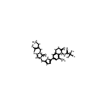 Cc1cc(-c2ccc(Cn3nnn(CC(CN)=C(F)F)c3=O)s2)cc2c1N(OC(=O)C(F)(F)F)C(=O)CC2